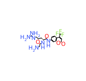 NCC(=O)N[C@@H](CCCN=C(N)N)C(=O)Nc1ccc2c(C(F)(F)F)cc(=O)oc2c1